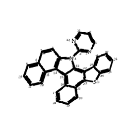 c1cnc(-n2c3ccc4ccccc4c3c3c4ccccc4c4sc5ccccc5c4c32)nc1